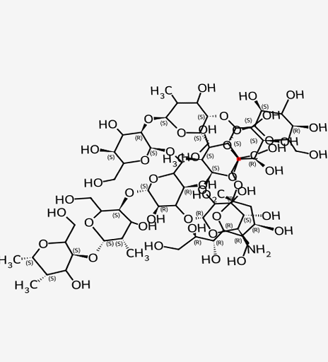 CC1C(O)[C@H](OC2OC(CO[C@]3(C(=O)O)C[C@@H](O)[C@@H](N)C([C@H](O)[C@H](O)CO)O3)[C@H](O)[C@H](O)C2O)[C@H](CO)O[C@H]1O[C@@H]1C(O)[C@H](O)C(CO)O[C@@H]1OCC1O[C@@H](O[C@@H]2C(CO)O[C@@H](O[C@@H]3C(CO)O[C@@H](C)[C@@H](C)C3O)[C@@H](C)C2O)[C@H](O)C(O[C@H]2O[C@H](CO)[C@@H](O)C(O)C2O[C@@H]2OC(CO)[C@@H](O[C@@H]3OC(CO)[C@H](O)C(O)[C@@H]3O)C(O)[C@@H]2C)[C@@H]1O